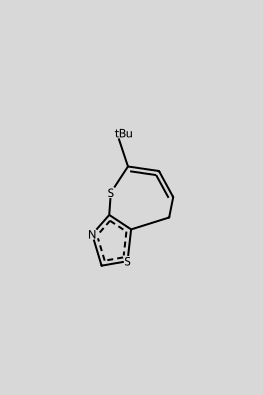 CC(C)(C)C1=C=CCc2scnc2S1